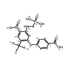 O=C(O)c1ccc(Oc2cc(NCP(=O)(O)O)c([N+](=O)[O-])cc2C(F)(F)F)cc1